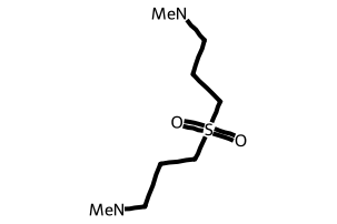 CNCCCS(=O)(=O)CCCNC